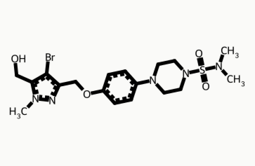 CN(C)S(=O)(=O)N1CCN(c2ccc(OCc3nn(C)c(CO)c3Br)cc2)CC1